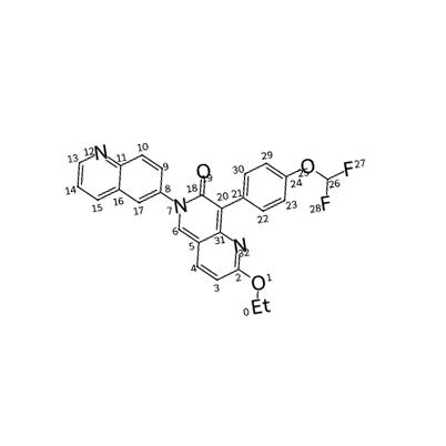 CCOc1ccc2cn(-c3ccc4ncccc4c3)c(=O)c(-c3ccc(OC(F)F)cc3)c2n1